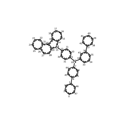 c1ccc(-c2ccc(N(c3ccc(-n4c5ccccc5c5c6ccccc6ccc54)cc3)c3cccc(-c4ccccc4)c3)cc2)cc1